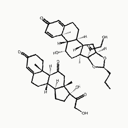 CCC[C@@H]1O[C@@H]2C[C@H]3[C@@H]4CCC5=CC(=O)C=C[C@]5(C)[C@H]4[C@@H](O)C[C@]3(C)[C@]2(C(=O)CO)O1.C[C@]12CCC(=O)C=C1CC[C@@H]1[C@@H]2C(=O)C[C@@]2(C)[C@H]1CC[C@]2(O)C(=O)CO